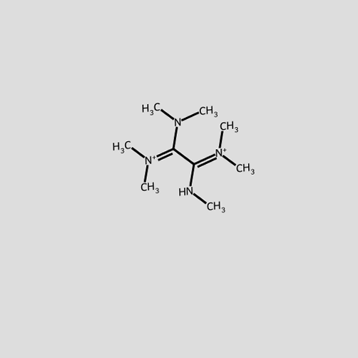 CNC(C(N(C)C)=[N+](C)C)=[N+](C)C